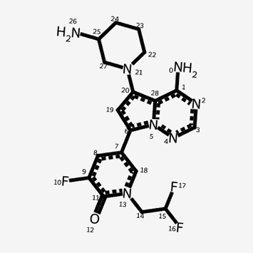 Nc1ncnn2c(-c3cc(F)c(=O)n(CC(F)F)c3)cc(N3CCCC(N)C3)c12